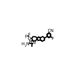 CC1=NC2(CC3(C=C4CC(c5cc(F)cc(C#N)c5)=CC=C4C3)CCC2OC(F)F)N=C1N